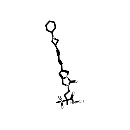 CC(CCN1Cc2cc(C#CC#CC3CN(C4CCCCC4)C3)cn2C1=O)(C(=O)NO)S(C)(=O)=O